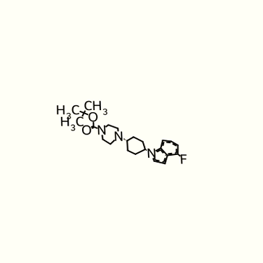 CC(C)(C)OC(=O)N1CCN([C@H]2CC[C@@H](n3ccc4c(F)cccc43)CC2)CC1